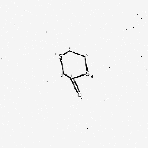 O=C1CSCCS1